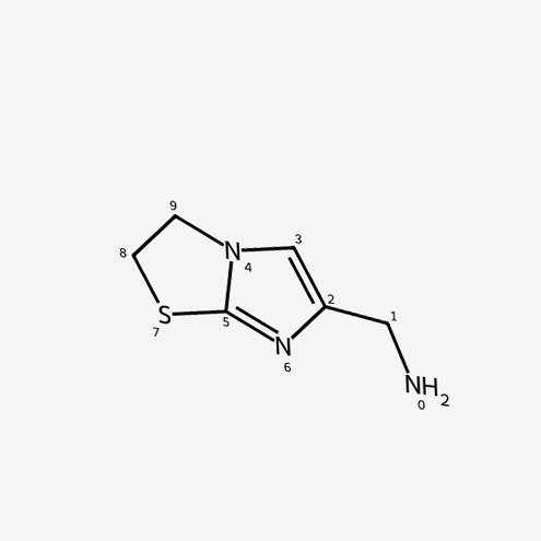 NCc1cn2c(n1)SCC2